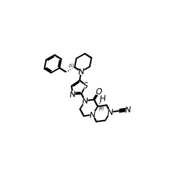 N#CN1CCN2CCN(c3ncc(N4CCCC[C@H]4Cc4ccccc4)s3)C(=O)[C@H]2C1